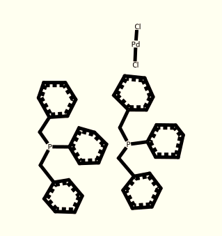 [Cl][Pd][Cl].c1ccc(CP(Cc2ccccc2)c2ccccc2)cc1.c1ccc(CP(Cc2ccccc2)c2ccccc2)cc1